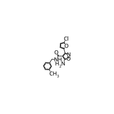 Cc1cccc(CNC(=O)c2c(-c3ccc(Cl)o3)noc2N)c1